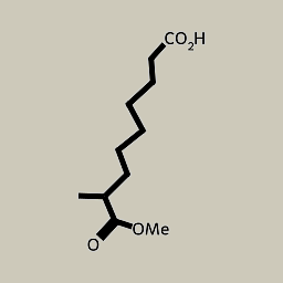 COC(=O)C(C)CCCCCCC(=O)O